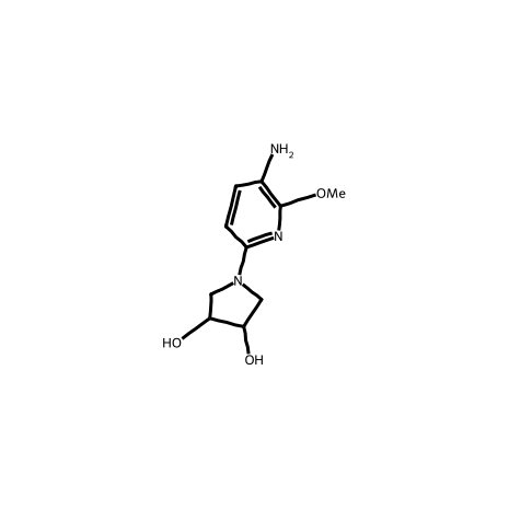 COc1nc(N2CC(O)C(O)C2)ccc1N